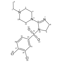 CCN1CCN(C2=NCCN2S(=O)(=O)c2ccc(Cl)c(Cl)c2)CC1